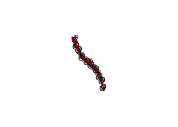 C=CC(=O)OCCCCOC(=O)CCC(=O)OCCc1ccc(OC(=O)C2CCC(C(=O)Oc3cc(C)c(OC(=O)C4CCC(C(=O)Oc5ccc(CCOC(=O)CCC(=O)OCCCCOC(C)C=C)cc5)CC4)c(C)c3C)CC2)cc1